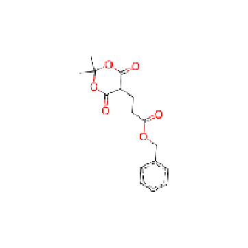 CC1(C)OC(=O)C(CCC(=O)OCc2ccccc2)C(=O)O1